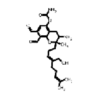 CC(C)=CCC/C(=C/CCC1(C)Oc2c(C=O)c(C=O)cc(OC(N)=O)c2CC1N)CO